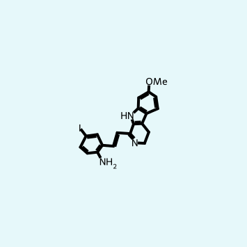 COc1ccc2c3c([nH]c2c1)C(/C=C/c1cc(I)ccc1N)=NCC3